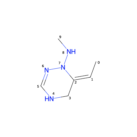 C/C=C1/CNC=NN1NC